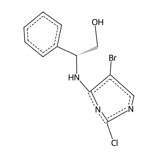 OC[C@H](Nc1nc(Cl)ncc1Br)c1ccccc1